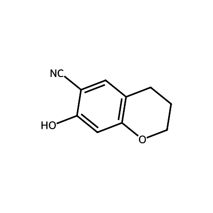 N#Cc1cc2c(cc1O)OCCC2